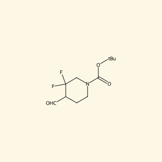 CC(C)(C)OC(=O)N1CCC(C=O)C(F)(F)C1